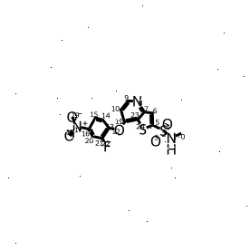 CNS(=O)(=O)c1cc2nccc(Oc3ccc([N+](=O)[O-])cc3F)c2s1